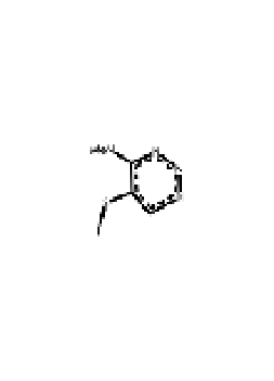 CNc1nnncc1SI